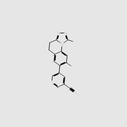 Cc1nnc2n1-c1cc(F)c(-c3cncc(C#N)c3)cc1CC2